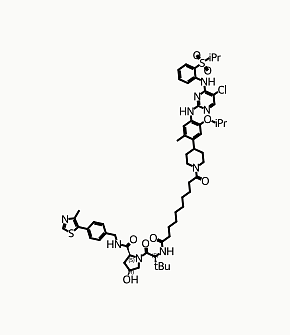 Cc1cc(Nc2ncc(Cl)c(Nc3ccccc3S(=O)(=O)C(C)C)n2)c(OC(C)C)cc1C1CCN(C(=O)CCCCCCCCC(=O)N[C@H](C(=O)N2C[C@H](O)C[C@H]2C(=O)NCc2ccc(-c3scnc3C)cc2)C(C)(C)C)CC1